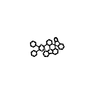 c1ccc(-c2nnc(-c3cccc4c3-n3c5ccccc5c5cccc(c53)C43c4ccccc4-c4ccccc43)nc2-c2ccccc2)cc1